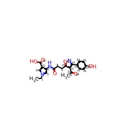 CCn1cc(NC(=O)CCc2onc(-c3ccc(O)cc3)c2C(C)=O)c(C(=O)O)c1